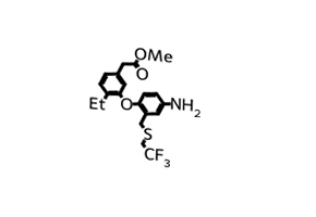 CCc1ccc(CC(=O)OC)cc1Oc1ccc(N)cc1CSCC(F)(F)F